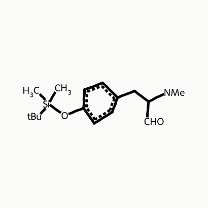 CNC(C=O)Cc1ccc(O[Si](C)(C)C(C)(C)C)cc1